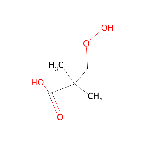 CC(C)(COO)C(=O)O